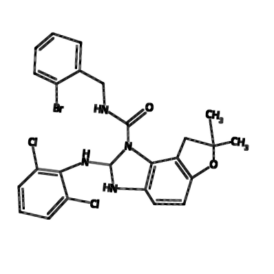 CC1(C)Cc2c(ccc3c2N(C(=O)NCc2ccccc2Br)C(Nc2c(Cl)cccc2Cl)N3)O1